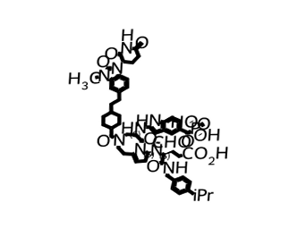 CC(C)c1ccc(CNC(=O)[C@H](CCC(=O)O)N(C=O)[C@@H]2CC=C3CCN(C(=O)C4CCC(CCc5ccc6c(c5)n(C)c(=O)n6C5CCC(=O)NC5=O)CC4)C[C@H](Nc4cc5cc(C(=O)P(=O)(O)O)ccc5[nH]4)C(=O)N32)cc1